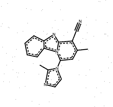 Cc1cc(-n2ccnc2C)n2c(nc3ccccc32)c1C#N